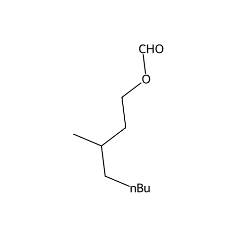 CCCCCC(C)CCOC=O